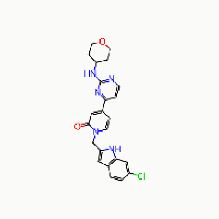 O=c1cc(-c2ccnc(NC3CCOCC3)n2)ccn1Cc1cc2ccc(Cl)cc2[nH]1